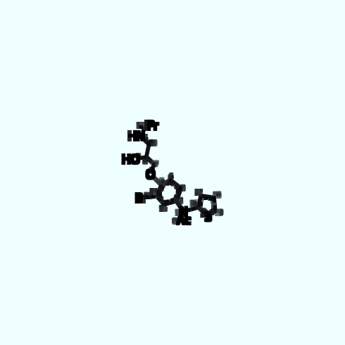 CC(=O)N(c1ccc(OCC(O)CNC(C)C)c(Br)c1)c1cccs1